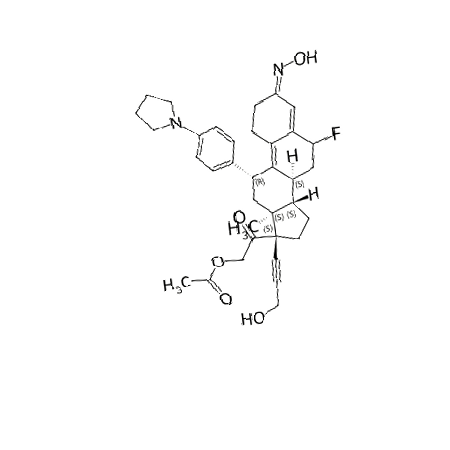 CC(=O)OCC(=O)[C@@]1(C#CCO)CC[C@H]2[C@@H]3CC(F)C4=CC(=NO)CCC4=C3[C@@H](c3ccc(N4CCCC4)cc3)C[C@@]21C